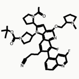 CC(=O)N1CCCC1c1cc2c(OCC3CCCN3C)nc3c(F)c(-c4cccc5ncc(F)cc45)c(CCC#N)cc3c2n1C1CCN(C(=O)OC(C)(C)C)C1